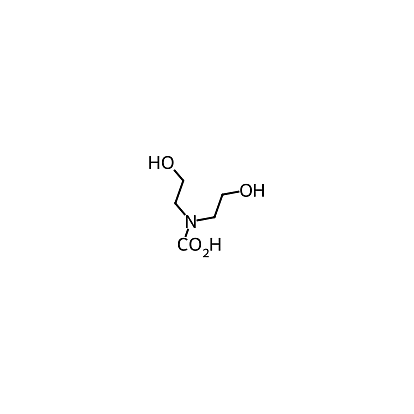 O=C(O)N(CCO)CCO